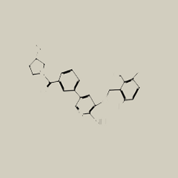 Nc1ncc(-c2cccc(C(=O)N3CC[C@@H](N)C3)c2)cc1OCc1c(F)ccc(F)c1Cl